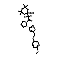 COc1ccc(OCc2cc([C@@H]3CCCN3C(=O)C(F)(F)C3(O)CC(C)(C)CC(C)(C)C3)no2)cn1